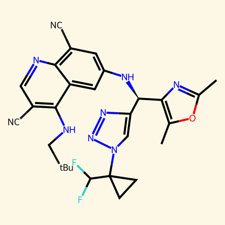 Cc1nc([C@H](Nc2cc(C#N)c3ncc(C#N)c(NCC(C)(C)C)c3c2)c2cn(C3(C(F)F)CC3)nn2)c(C)o1